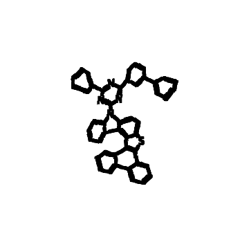 c1ccc(-c2cccc(-c3nc(-c4ccccc4)nc(-n4c5ccccc5c5c6c(ccc54)sc4c5ccccc5c5ccccc5c46)n3)c2)cc1